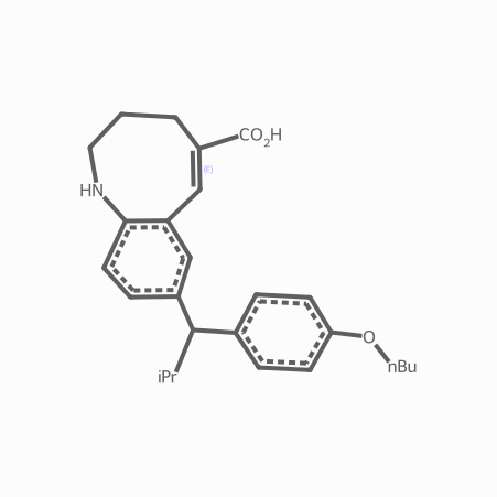 CCCCOc1ccc(C(c2ccc3c(c2)/C=C(/C(=O)O)CCCN3)C(C)C)cc1